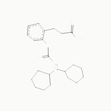 C1CCC(NC2CCCCC2)CC1.CC(=O)Sc1ccccc1CCC(=O)O